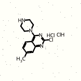 Cc1ccc2c(N3CCNCC3)nc(Cl)nc2c1.Cl.Cl